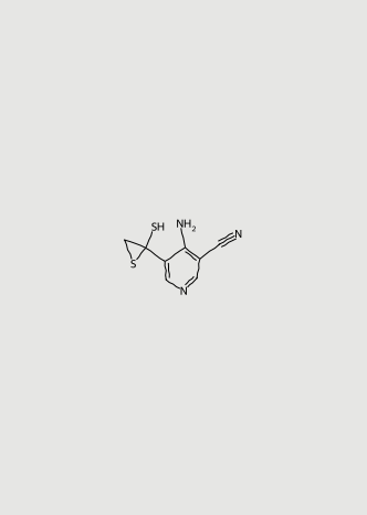 N#Cc1cncc(C2(S)CS2)c1N